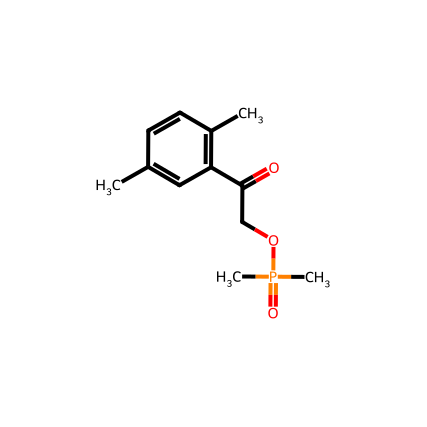 Cc1ccc(C)c(C(=O)COP(C)(C)=O)c1